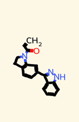 C=CC(=O)N1CCc2ccc(-c3n[nH]c4ccccc34)cc21